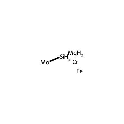 [Cr].[Fe].[MgH2].[SiH3][Mo]